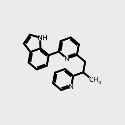 CC(Cc1cccc(-c2cccc3cc[nH]c23)n1)c1ccccn1